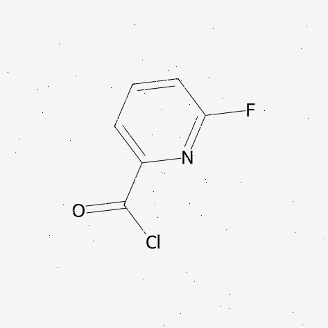 O=C(Cl)c1cccc(F)n1